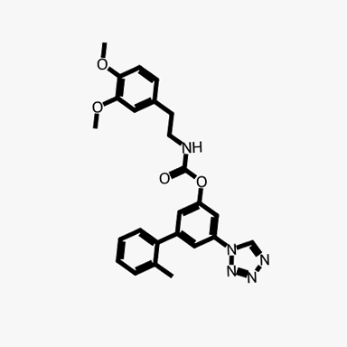 COc1ccc(CCNC(=O)Oc2cc(-c3ccccc3C)cc(-n3cnnn3)c2)cc1OC